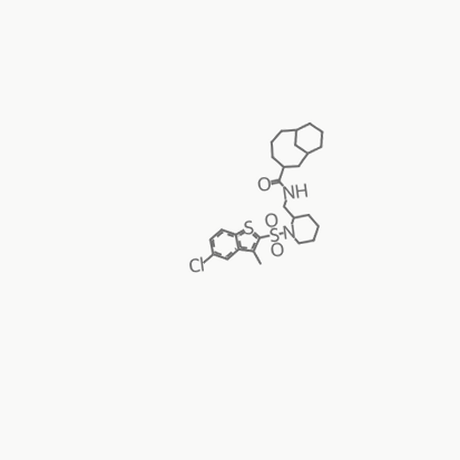 Cc1c(S(=O)(=O)N2CCCCC2CNC(=O)C2CCCC3CCCC(C3)C2)sc2ccc(Cl)cc12